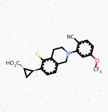 N#Cc1ccc(OC(F)(F)F)cc1N1CCc2c(ccc([C@H]3C[C@@H]3C(=O)O)c2F)C1